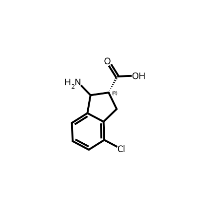 NC1c2cccc(Cl)c2C[C@H]1C(=O)O